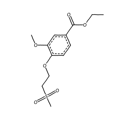 CCOC(=O)c1ccc(OCCS(C)(=O)=O)c(OC)c1